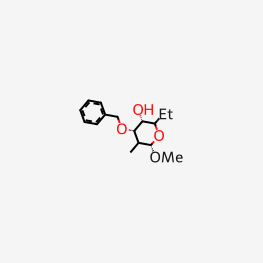 CCC1O[C@H](OC)C(C)[C@H](OCc2ccccc2)[C@@H]1O